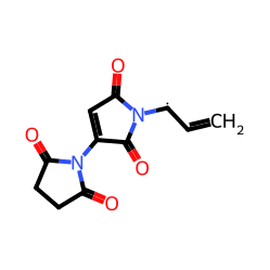 C=C[CH]N1C(=O)C=C(N2C(=O)CCC2=O)C1=O